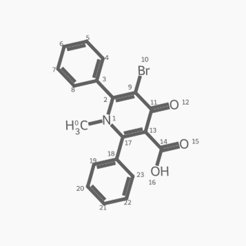 Cn1c(-c2ccccc2)c(Br)c(=O)c(C(=O)O)c1-c1ccccc1